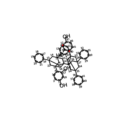 Oc1ccc(C23CC4(c5ccccc5)CC(c5ccccc5)(C2)CC(C25CC6(c7ccccc7)CC(c7ccccc7)(CC(c7ccc(O)cc7O)(C6)C2)C5)(C4)C3)c(O)c1